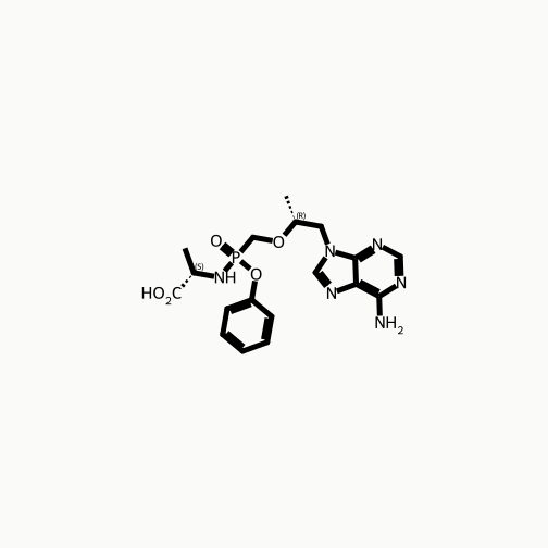 C[C@H](Cn1cnc2c(N)ncnc21)OCP(=O)(N[C@@H](C)C(=O)O)Oc1ccccc1